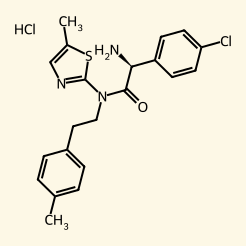 Cc1ccc(CCN(C(=O)[C@@H](N)c2ccc(Cl)cc2)c2ncc(C)s2)cc1.Cl